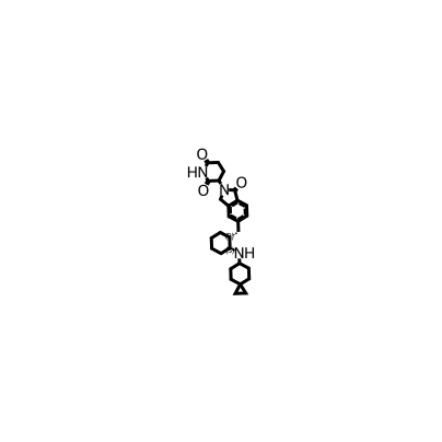 O=C1CCC(N2Cc3cc(C[C@H]4CCCC[C@@H]4NC4CCC5(CC4)CC5)ccc3C2=O)C(=O)N1